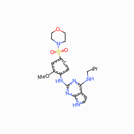 COc1cc(S(=O)(=O)N2CCOCC2)ccc1Nc1nc(NCC(C)C)c2cc[nH]c2n1